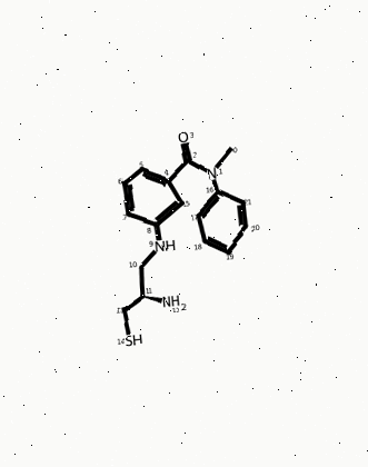 CN(C(=O)c1cccc(NC[C@@H](N)CS)c1)c1ccccc1